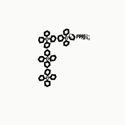 [PH4+].[PH4+].[PH4+].[PH4+].c1ccc([B-](c2ccccc2)(c2ccccc2)c2ccccc2)cc1.c1ccc([B-](c2ccccc2)(c2ccccc2)c2ccccc2)cc1.c1ccc([B-](c2ccccc2)(c2ccccc2)c2ccccc2)cc1.c1ccc([B-](c2ccccc2)(c2ccccc2)c2ccccc2)cc1